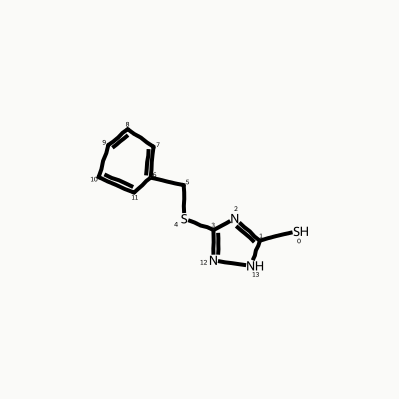 Sc1nc(SCc2ccccc2)n[nH]1